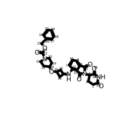 O=C1CCC(N2C(=O)c3cccc(NC4CC(OC5CCN(C(=O)OCc6ccccc6)CC5)C4)c3C2=O)C(=O)N1